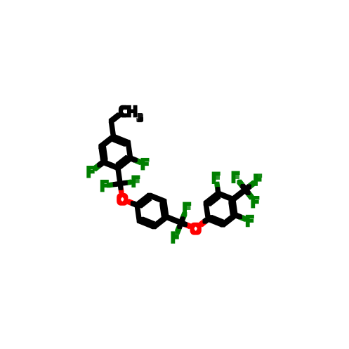 CCc1cc(F)c(C(F)(F)Oc2ccc(C(F)(F)Oc3cc(F)c(C(F)(F)F)c(F)c3)cc2)c(F)c1